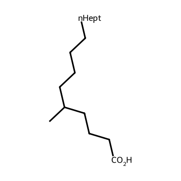 CCCCCCCCCCCC(C)CCCC(=O)O